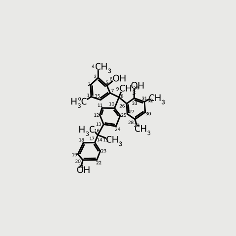 Cc1cc(C)c(O)c(C(C)(c2ccc(C(C)(C)c3ccc(O)cc3)cc2)c2cc(C)cc(C)c2O)c1